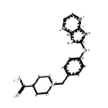 NC(=O)C1CCN(Cc2ccc(Oc3nc4nccnc4s3)cc2)CC1